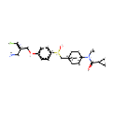 CN(C(=O)C1CC1)C12CCC(C[S+]([O-])c3ccc(OC/C(=C/F)CN)cc3)(CC1)CC2